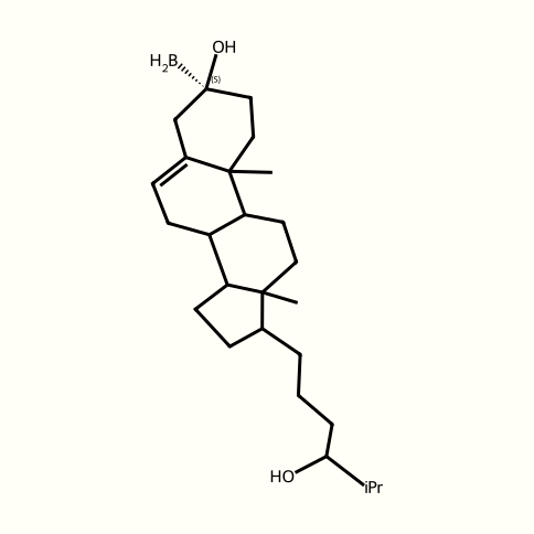 B[C@]1(O)CCC2(C)C(=CCC3C2CCC2(C)C(CCCC(O)C(C)C)CCC32)C1